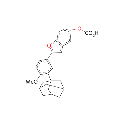 COc1ccc(-c2cc3cc(OC(=O)O)ccc3o2)cc1C12CC3CC(CC(C3)C1)C2